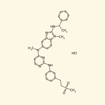 CC(Nc1nc2cc(N(C)c3ccnc(Nc4cccc(CCS(C)(=O)=O)c4)n3)ccc2n1C)c1ccccc1.Cl